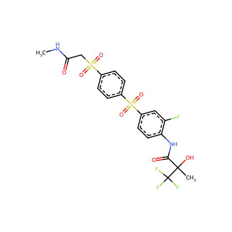 CNC(=O)CS(=O)(=O)c1ccc(S(=O)(=O)c2ccc(NC(=O)C(C)(O)C(F)(F)F)c(F)c2)cc1